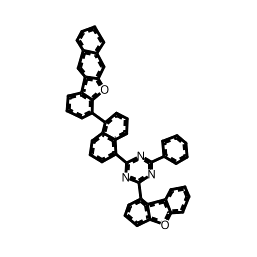 c1ccc(-c2nc(-c3cccc4c(-c5cccc6c5oc5cc7ccccc7cc56)cccc34)nc(-c3cccc4oc5ccccc5c34)n2)cc1